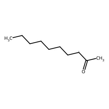 CCCCCCC[CH]C(C)=O